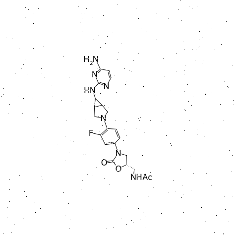 CC(=O)NC[C@H]1CN(c2ccc(N3CC4C(C3)C4Nc3nccc(N)n3)c(F)c2)C(=O)O1